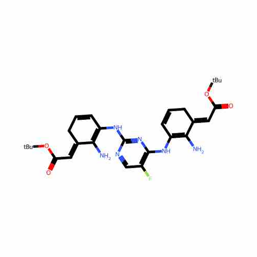 CC(C)(C)OC(=O)C=C1CC=CC(Nc2ncc(F)c(NC3=C(N)C(=CC(=O)OC(C)(C)C)CC=C3)n2)=C1N